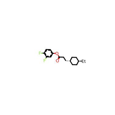 CC[C@H]1CC[C@H](CCC(=O)Oc2ccc(F)c(F)c2)CC1